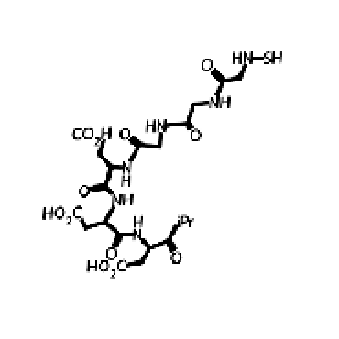 CC(C)C(=O)C(CC(=O)O)NC(=O)C(CC(=O)O)NC(=O)C(CC(=O)O)NC(=O)CNC(=O)CNC(=O)CNS